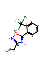 FC(F)(F)c1ccccc1-c1nc(CCl)no1